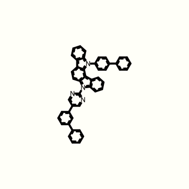 c1ccc(-c2ccc(-n3c4ccccc4c4ccc5c(c6ccccc6n5-c5ncc(-c6cccc(-c7ccccc7)c6)cn5)c43)cc2)cc1